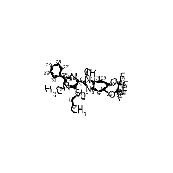 CC[S+]([O-])c1c(-c2nc3cc4c(cc3n2C)OC(F)(F)C(F)(F)O4)nc(-c2ccccc2)n1C